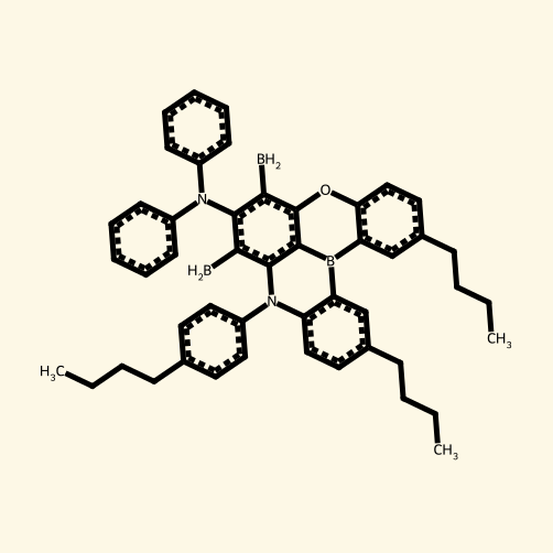 Bc1c2c3c(c(B)c1N(c1ccccc1)c1ccccc1)N(c1ccc(CCCC)cc1)c1ccc(CCCC)cc1B3c1cc(CCCC)ccc1O2